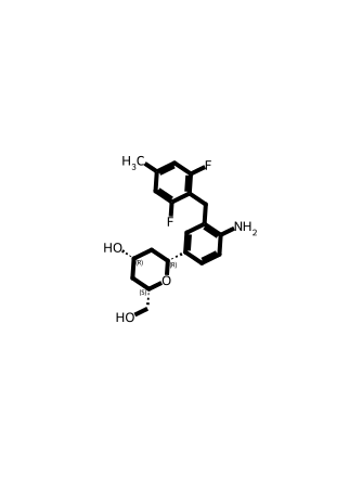 Cc1cc(F)c(Cc2cc([C@H]3C[C@@H](O)C[C@@H](CO)O3)ccc2N)c(F)c1